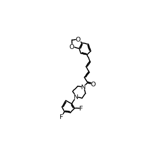 O=C(C=CC=Cc1ccc2c(c1)OCO2)N1CCN(c2ccc(F)cc2F)CC1